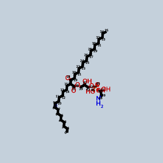 CCCCCCCC/C=C\CCCCCCC(C(=O)CCCCCCCCCCCCCCCCC)C(=O)OCC(O)COP(=O)(O)O.NCCO